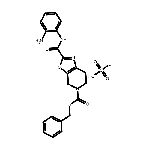 Nc1ccccc1NC(=O)c1nc2c(s1)CN(C(=O)OCc1ccccc1)CC2.O=S(=O)(O)O